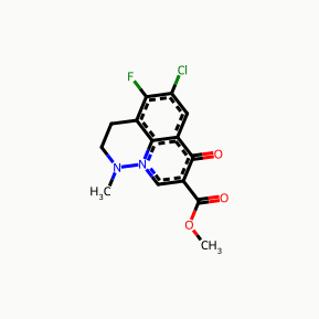 COC(=O)c1cn2c3c(c(F)c(Cl)cc3c1=O)CCN2C